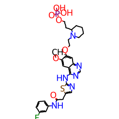 COc1cc2c(Nc3ncc(CC(=O)Nc4cccc(F)c4)s3)ncnc2cc1OCCN1CCCCC1CCOP(=O)(O)O